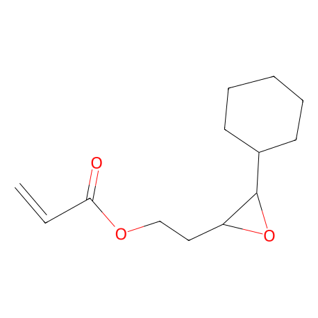 C=CC(=O)OCCC1OC1C1CCCCC1